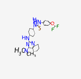 CN(C)c1nc(NC2CCC(NC(=S)Nc3ccc(OC(F)F)cc3)CC2)nc2c1CCCC2